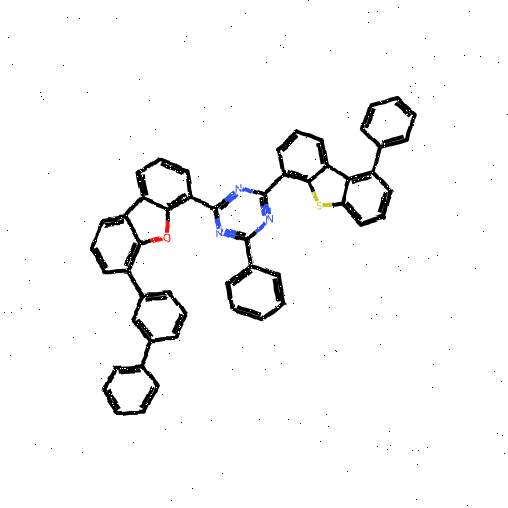 c1ccc(-c2cccc(-c3cccc4c3oc3c(-c5nc(-c6ccccc6)nc(-c6cccc7c6sc6cccc(-c8ccccc8)c67)n5)cccc34)c2)cc1